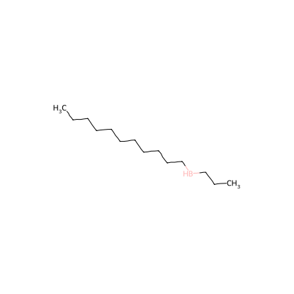 CCCBCCCCCCCCCCC